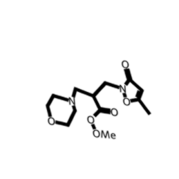 COOC(=O)C(CN1CCOCC1)Cn1oc(C)cc1=O